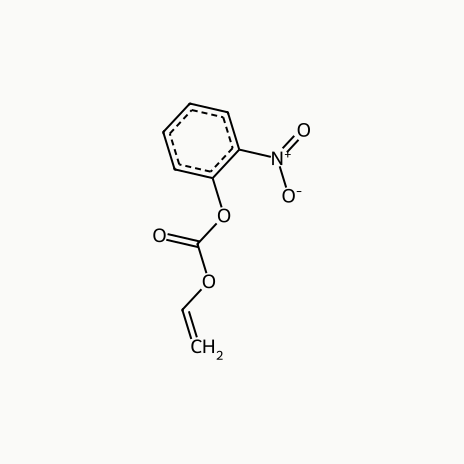 C=COC(=O)Oc1ccccc1[N+](=O)[O-]